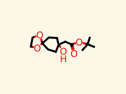 CC(C)(C)OC(=O)CC1(O)CCC2(CC1)OCCO2